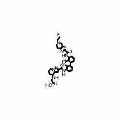 O=C(O)CNC1CCCn2nc(C(=O)Nc3cccc(-c4cccc(NC(=O)c5nc6c(s5)CN(CCF)CC6)c4Cl)c3Cl)cc21